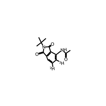 [2H]c1cc2c(c(NC(C)=O)c1[2H])C(=O)N(C(C)(C)C)C2=O